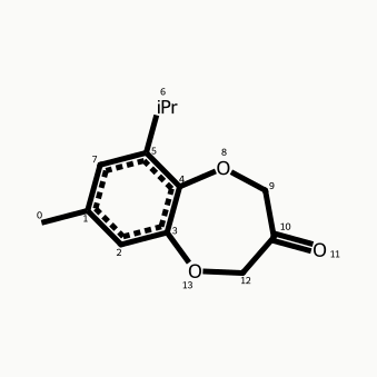 Cc1cc2c(c(C(C)C)c1)OCC(=O)CO2